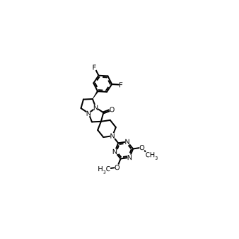 COc1nc(OC)nc(N2CCC3(CC2)CN2CC[C@@H](c4cc(F)cc(F)c4)N2C3=O)n1